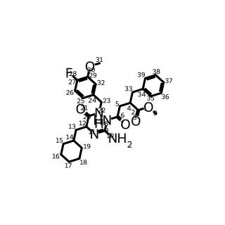 COC(=O)C(CC(=O)NC(N)=NC(CC1CCCCC1)C(=O)NCc1ccc(F)c(OC)c1)Cc1ccccc1